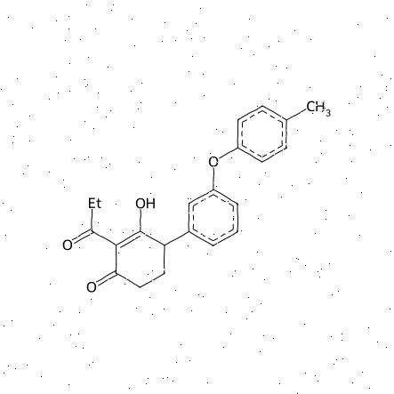 CCC(=O)C1=C(O)C(c2cccc(Oc3ccc(C)cc3)c2)CCC1=O